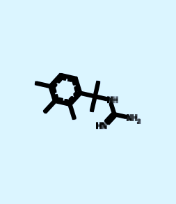 Cc1ccc(C(C)(C)NC(=N)N)c(C)c1C